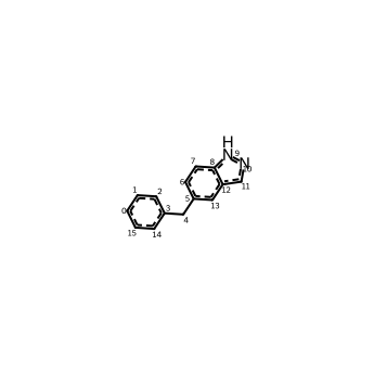 c1ccc(Cc2ccc3[nH]ncc3c2)cc1